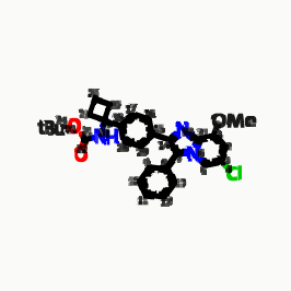 COc1cc(Cl)cn2c(-c3ccccc3)c(-c3ccc(C4(NC(=O)OC(C)(C)C)CCC4)cc3)nc12